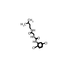 CC(C)CCNC(=O)CNC(=O)Nc1cc(Cl)ccc1Cl